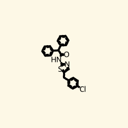 O=C(Nc1ncc(Cc2ccc(Cl)cc2)s1)C(c1ccccc1)c1ccccc1